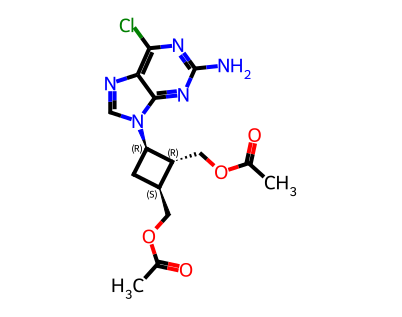 CC(=O)OC[C@H]1C[C@@H](n2cnc3c(Cl)nc(N)nc32)[C@@H]1COC(C)=O